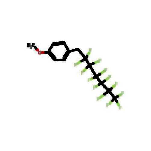 COc1ccc(CC(F)(F)C(F)(F)C(F)(F)C(F)(F)C(F)(F)C(F)(F)F)cc1